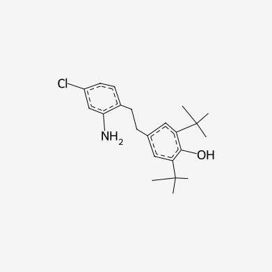 CC(C)(C)c1cc(CCc2ccc(Cl)cc2N)cc(C(C)(C)C)c1O